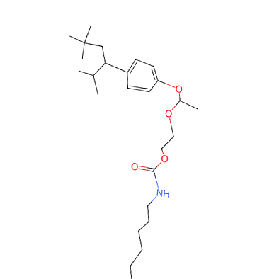 CCCCCCNC(=O)OCCOC(C)Oc1ccc(C(CC(C)(C)C)C(C)C)cc1